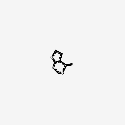 O=c1ocnc2occc12